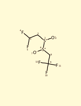 [O-][S+](CC(F)F)[S+]([O-])CC(F)(F)F